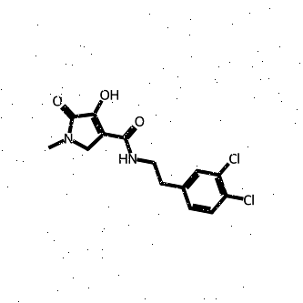 CN1CC(C(=O)NCCc2ccc(Cl)c(Cl)c2)=C(O)C1=O